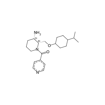 CC(C)C1CCC(OC[C@H]2[C@@H](N)CCCN2C(=O)c2ccncc2)CC1